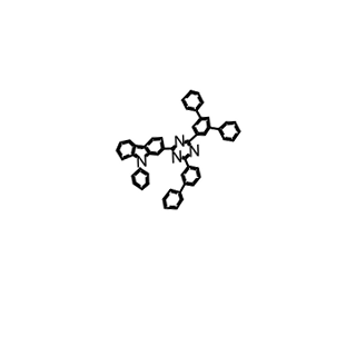 c1ccc(-c2cccc(-c3nc(-c4cc(-c5ccccc5)cc(-c5ccccc5)c4)nc(-c4ccc5c6ccccc6n(-c6ccccc6)c5c4)n3)c2)cc1